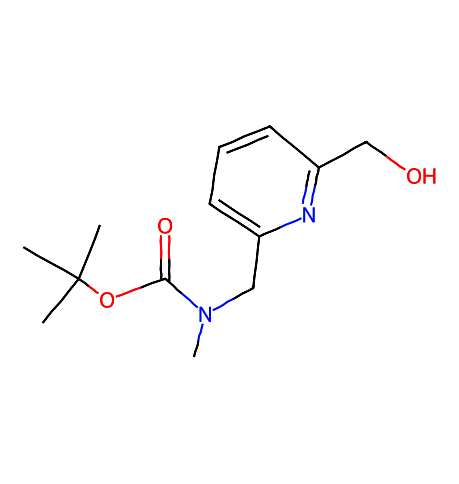 CN(Cc1cccc(CO)n1)C(=O)OC(C)(C)C